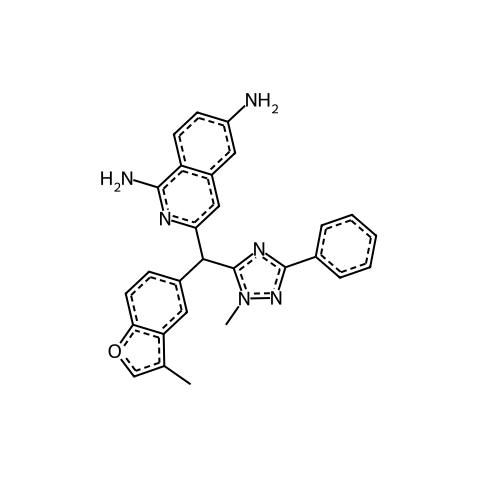 Cc1coc2ccc(C(c3cc4cc(N)ccc4c(N)n3)c3nc(-c4ccccc4)nn3C)cc12